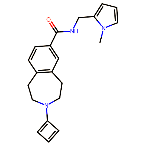 Cn1cccc1CNC(=O)c1ccc2c(c1)CCN(C1=CC=C1)CC2